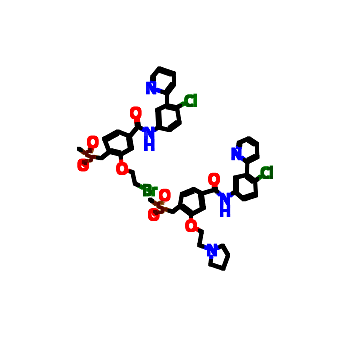 CS(=O)(=O)Cc1ccc(C(=O)Nc2ccc(Cl)c(-c3ccccn3)c2)cc1OCCBr.CS(=O)(=O)Cc1ccc(C(=O)Nc2ccc(Cl)c(-c3ccccn3)c2)cc1OCCN1CCCC1